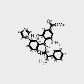 COC(=O)c1cc(C)c(C(OC(=O)C(C)c2ccccc2)c2cc(-n3ccnc3)ccc2C)c(C)c1